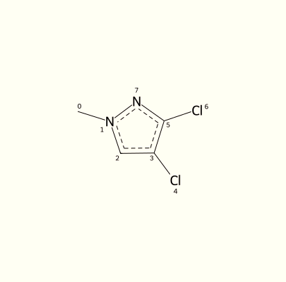 Cn1cc(Cl)c(Cl)n1